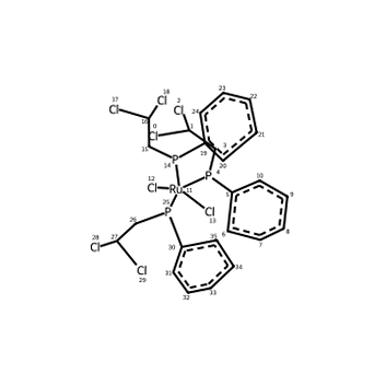 ClC(Cl)C[P](c1ccccc1)[Ru]([Cl])([Cl])([P](CC(Cl)Cl)c1ccccc1)[P](CC(Cl)Cl)c1ccccc1